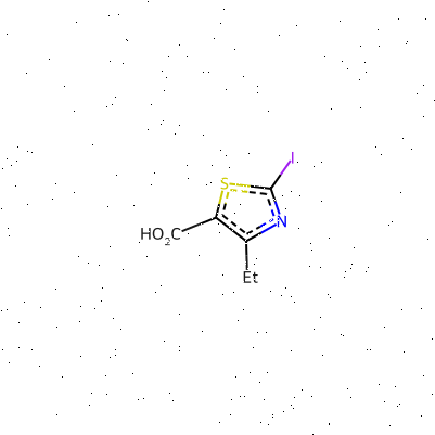 CCc1nc(I)sc1C(=O)O